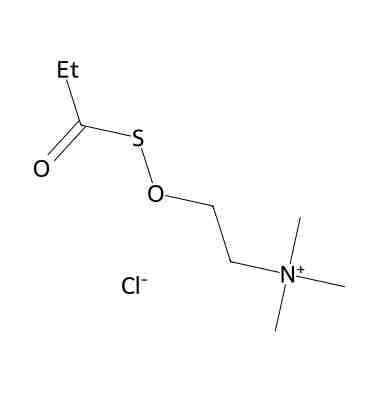 CCC(=O)SOCC[N+](C)(C)C.[Cl-]